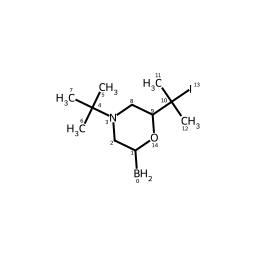 BC1CN(C(C)(C)C)CC(C(C)(C)I)O1